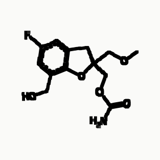 COCC1(COC(N)=O)Cc2cc(F)cc(CO)c2O1